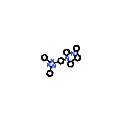 c1ccc(-c2nc(-c3ccccc3)nc(-c3ccc(-n4c5ccccc5c5cccc6c7ccccc7n(c7ccccc74)c56)cc3)n2)cc1